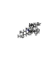 N/C(=N\c1cc(F)c(O)cc1Cl)c1cnn2cc(Br)cc2c1N[C@H]1CCOC1